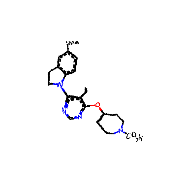 CSc1ccc2c(c1)CCN2c1ncnc(OC2CCN(C(=O)O)CC2)c1C